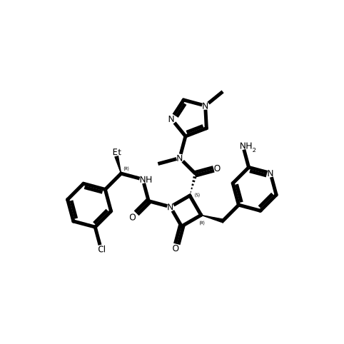 CC[C@@H](NC(=O)N1C(=O)[C@H](Cc2ccnc(N)c2)[C@H]1C(=O)N(C)c1cn(C)cn1)c1cccc(Cl)c1